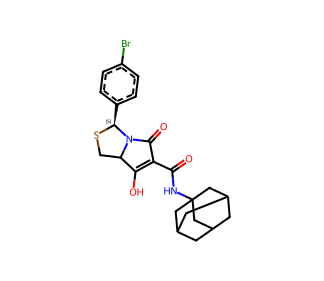 O=C(NC12CC3CC(CC(C3)C1)C2)C1=C(O)C2CS[C@@H](c3ccc(Br)cc3)N2C1=O